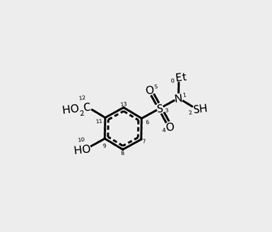 CCN(S)S(=O)(=O)c1ccc(O)c(C(=O)O)c1